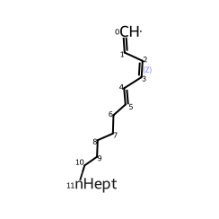 [CH]=C/C=C\C=CCCCCCCCCCCCC